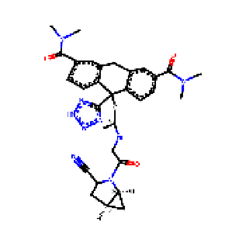 C[C@@H](CC1(c2nn[nH]n2)c2ccc(C(=O)N(C)C)cc2Cc2cc(C(=O)N(C)C)ccc21)NCC(=O)N1C(C#N)C[C@@H]2C[C@@H]21